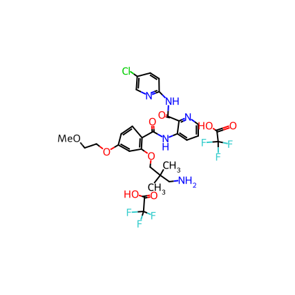 COCCOc1ccc(C(=O)Nc2cccnc2C(=O)Nc2ccc(Cl)cn2)c(OCC(C)(C)CN)c1.O=C(O)C(F)(F)F.O=C(O)C(F)(F)F